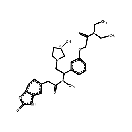 CCN(CC)C(=O)COc1cccc(C(CN2CC[C@H](O)C2)N(C)C(=O)Cc2ccc3sc(=O)[nH]c3c2)c1